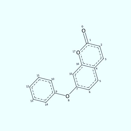 O=c1ccc2ccc(Oc3ccccc3)cc2o1